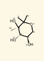 CC1(C)OC[C@@H](O)[C@H](O)[C@@]1(C)O